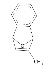 CC1=CC2OC1c1ccccc12